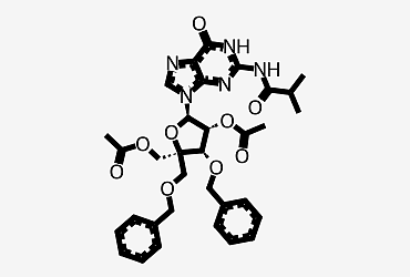 CC(=O)OC[C@]1(COCc2ccccc2)O[C@@H](n2cnc3c(=O)[nH]c(NC(=O)C(C)C)nc32)[C@H](OC(C)=O)[C@@H]1OCc1ccccc1